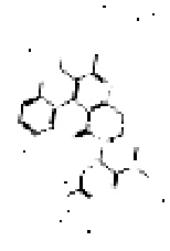 Cc1nc2c(c(-c3ccccc3Cl)c1CN)C(=O)N([C@H](OC(=O)C(F)(F)F)C(=O)N(C)C)CC2